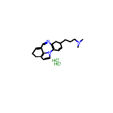 CN(C)CCCC1C=CC2=C(C1)N=CC1=CCCc3ccn2c31.Cl.Cl